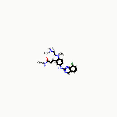 CN(C)CCN(C)c1ccc(Nc2ncc3cccc(Cl)c3n2)cc1C=CC(=O)NC=O